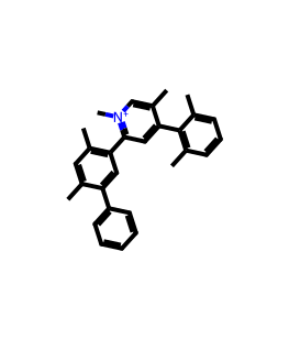 Cc1cc(C)c(-c2cc(-c3c(C)cccc3C)c(C)c[n+]2C)cc1-c1ccccc1